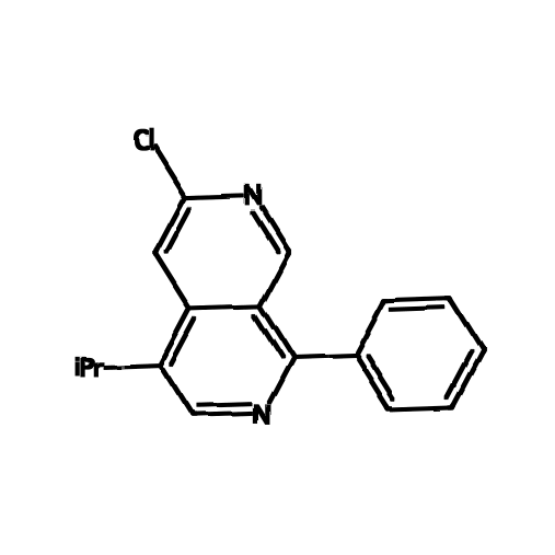 CC(C)c1cnc(-c2ccccc2)c2cnc(Cl)cc12